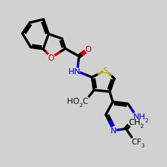 C=C(/N=C\C(=C/N)c1csc(NC(=O)c2cc3ccccc3o2)c1C(=O)O)C(F)(F)F